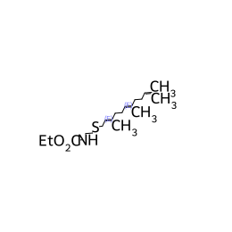 CCOC(=O)NCCSC/C=C(\C)CC/C=C(\C)CCC=C(C)C